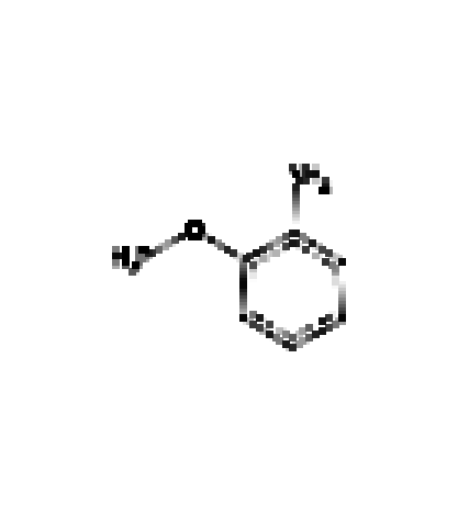 Nc1ccccc1OP